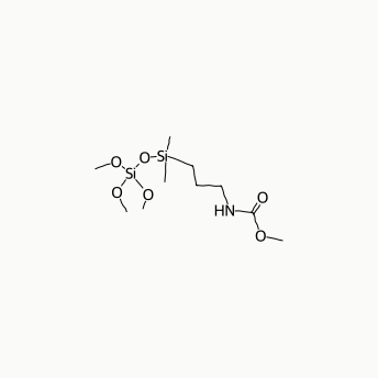 COC(=O)NCCC[Si](C)(C)O[Si](OC)(OC)OC